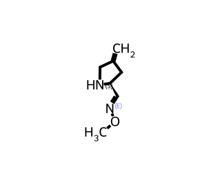 C=C1CN[C@H](/C=N/OC)C1